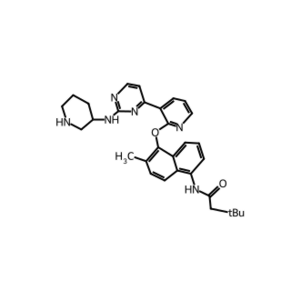 Cc1ccc2c(NC(=O)CC(C)(C)C)cccc2c1Oc1ncccc1-c1ccnc(NC2CCCNC2)n1